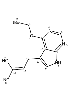 CC(C)(C)COc1ncnc2[nH]cc(CC=C(C#N)C#N)c12